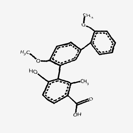 COc1ccccc1-c1ccc(OC)c(-c2c(O)ccc(C(=O)O)c2C)c1